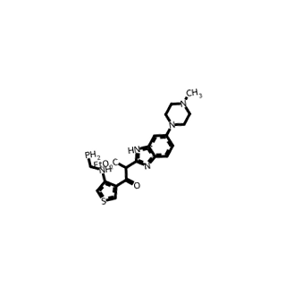 CCOC(=O)C(C(=O)c1cscc1NCP)c1nc2ccc(N3CCN(C)CC3)cc2[nH]1